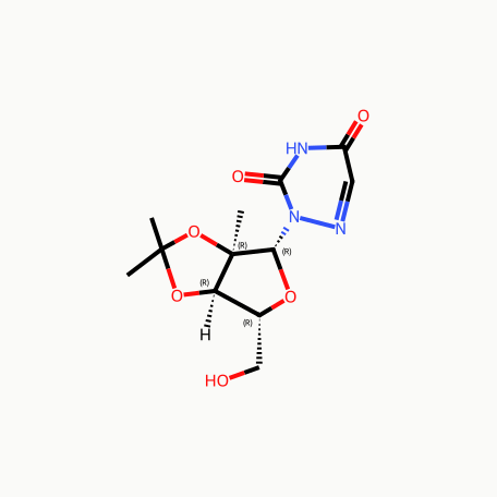 CC1(C)O[C@@H]2[C@@H](CO)O[C@@H](n3ncc(=O)[nH]c3=O)[C@]2(C)O1